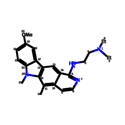 CCN(CC)CCNc1nccc2c(C)c3c(cc12)c1cc(OC)ccc1n3C